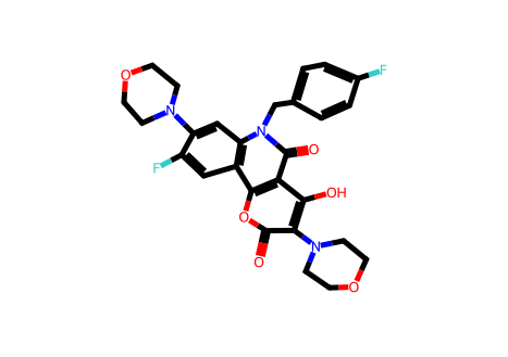 O=c1oc2c(c(O)c1N1CCOCC1)c(=O)n(Cc1ccc(F)cc1)c1cc(N3CCOCC3)c(F)cc21